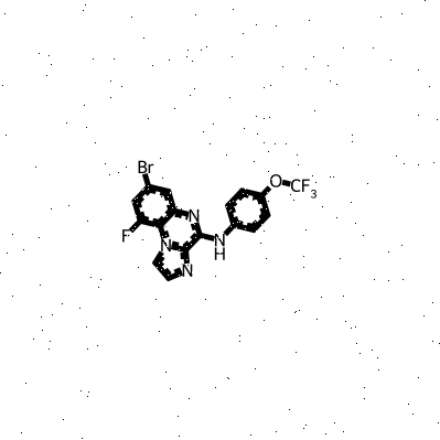 Fc1cc(Br)cc2nc(Nc3ccc(OC(F)(F)F)cc3)c3nccn3c12